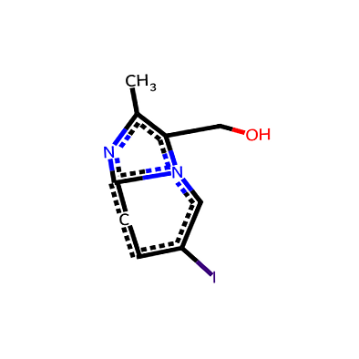 Cc1nc2ccc(I)cn2c1CO